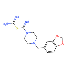 N=C(N)SC(=N)N1CCN(Cc2ccc3c(c2)OCO3)CC1